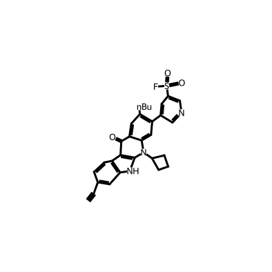 C#Cc1ccc2c(c1)[nH]c1c2c(=O)c2cc(CCCC)c(-c3cncc(S(=O)(=O)F)c3)cc2n1C1CCC1